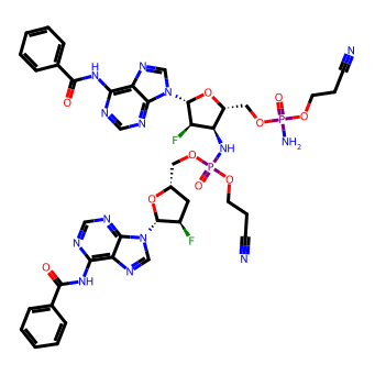 N#CCCOP(N)(=O)OC[C@H]1O[C@@H](n2cnc3c(NC(=O)c4ccccc4)ncnc32)[C@H](F)[C@@H]1NP(=O)(OCCC#N)OC[C@@H]1C[C@@H](F)[C@H](n2cnc3c(NC(=O)c4ccccc4)ncnc32)O1